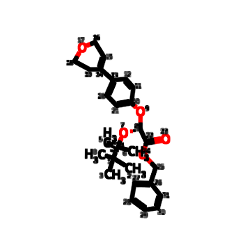 CC(C)(C)[Si](C)(C)O[C@H](Oc1ccc(C2=CCOCC2)cc1)C(=O)OCc1ccccc1